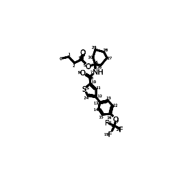 CCCC(=O)OC1(NC(=O)c2cc(-c3ccc(OC(F)(F)F)cc3)cs2)CCCCC1